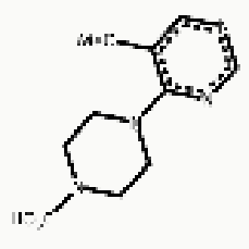 COc1cncnc1N1CCN(C(=O)O)CC1